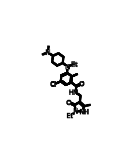 CCN(c1cc(Cl)cc(C(=O)NCc2c(C)[nH]n(CC)c2=O)c1C)C1CCC(N(C)C)CC1